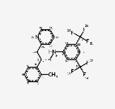 Cc1ccccc1[C@@H](CNc1cc(C(F)(F)F)cc(C(F)(F)F)c1)Cc1ccccn1